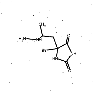 CC(CC1(C(C)C)NC(=O)NC1=O)NN